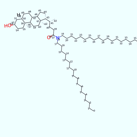 CCCCCCCCCCCCCCCCCCN(CCCCCCCCCCCCCCCCCC)C(=O)CC[C@@H](C)[C@H]1CCC2C3CC[C@@H]4C[C@H](O)CC[C@]4(C)C3CC[C@@]21C